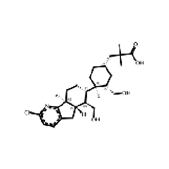 CC(C)(C[C@H]1CC[C@](C)([C@H]2CC[C@]3(C)c4nc(Cl)ccc4C[C@H]3[C@@H]2CO)[C@@H](CO)C1)C(=O)O